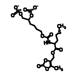 CSCCC(NC(=O)OCCCCC(CO[N+](=O)[O-])O[N+](=O)[O-])C(=O)OCc1oc(=O)oc1C